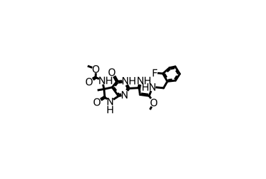 COC(=O)NC1(C)C(=O)Nc2nc(C(=N)/C=C(\NCc3ccccc3F)OC)[nH]c(=O)c21